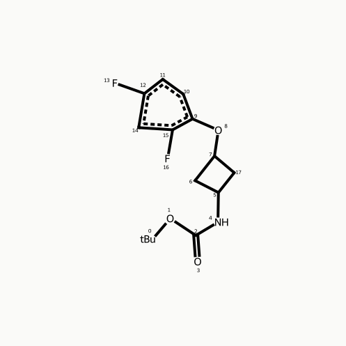 CC(C)(C)OC(=O)NC1CC(Oc2ccc(F)cc2F)C1